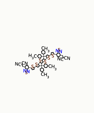 Cc1ccc(C2(c3ccc(C)cc3)c3cc(-c4ccc(-c5ccc(C=C(C#N)C#N)c6nsnc56)s4)sc3-c3sc4c5c(sc4c32)-c2sc(-c3ccc(-c4ccc(C=C(C#N)C#N)c6nsnc46)s3)cc2C5(c2ccc(C)cc2)c2ccc(C)cc2)cc1